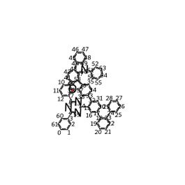 c1ccc(-c2nc(-c3ccccc3)nc(-c3cc(-c4ccccc4-c4ccccc4)ccc3-c3ccc4c(c3)oc3ccc5c6ccccc6n(-c6ccccc6)c5c34)n2)cc1